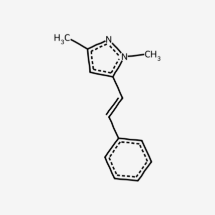 Cc1cc(/C=C/c2ccccc2)n(C)n1